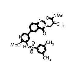 CNC(=O)[C@@H](C)Cn1cnc2ccc(-c3cnc(OC)c(NS(=O)(=O)c4cc(C)cc(C)c4)c3)cc2c1=O